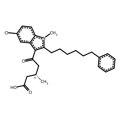 C[C@H](CC(=O)O)CC(=O)c1c(CCCCCCc2ccccc2)n(C)c2ccc(Cl)cc12